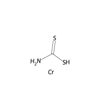 NC(=S)S.[Cr]